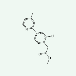 COC(=O)Cc1ccc(-c2cc(C)cnn2)cc1Cl